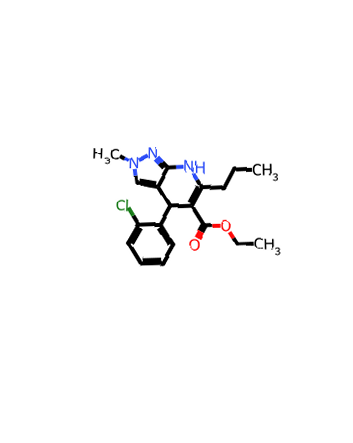 CCCC1=C(C(=O)OCC)C(c2ccccc2Cl)c2cn(C)nc2N1